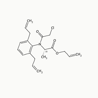 C=CCOC(=O)[C@H](C)N(C(=O)CCl)c1c(CC=C)cccc1CC=C